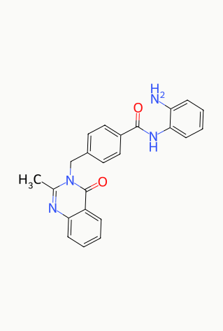 Cc1nc2ccccc2c(=O)n1Cc1ccc(C(=O)Nc2ccccc2N)cc1